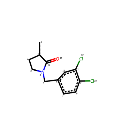 CC1CCN(Cc2ccc(Cl)c(Cl)c2)C1=O